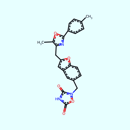 Cc1ccc(-c2nc(Cc3cc4cc(Cn5oc(=O)[nH]c5=O)ccc4o3)c(C)o2)cc1